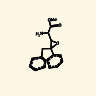 COC(=O)C(N)C1OC1(Cc1ccccc1)c1ccccc1